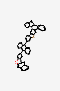 c1ccc2cc3c(cc2c1)oc1ccc(-c2c4ccccc4c(-c4ccc5c(c4)sc4cc6c7ccccc7c7ccc8ccccc8c7c6cc45)c4ccccc24)cc13